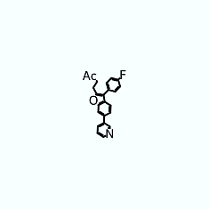 CC(=O)CCc1oc2cc(-c3cccnc3)ccc2c1-c1ccc(F)cc1